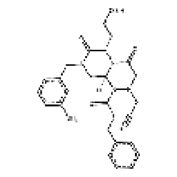 Bc1cccc(CN2C[C@H]3N(C(=O)CN(CC#C)N3C(=O)NCc3ccccc3)[C@@H](CCC(=O)O)C2=O)c1